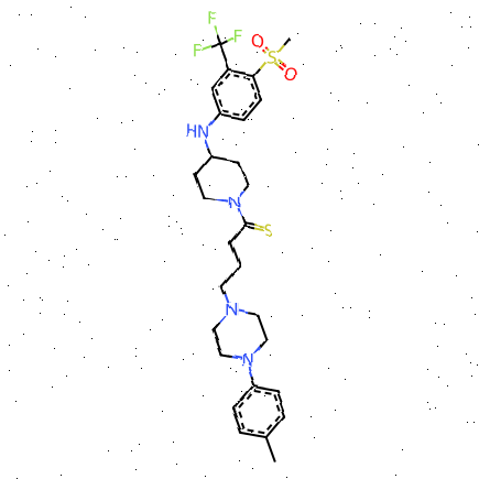 Cc1ccc(N2CCN(CCCC(=S)N3CCC(Nc4ccc(S(C)(=O)=O)c(C(F)(F)F)c4)CC3)CC2)cc1